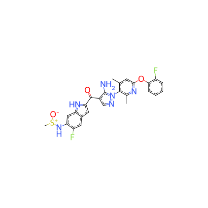 Cc1cc(Oc2ccccc2F)nc(C)c1-n1ncc(C(=O)c2cc3cc(F)c(N[S+](C)[O-])cc3[nH]2)c1N